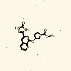 CC(C)(C)OC(=O)N1CC[C@H](Oc2nc(-c3n[nH]c(=O)[nH]3)cc3cccnc23)C1